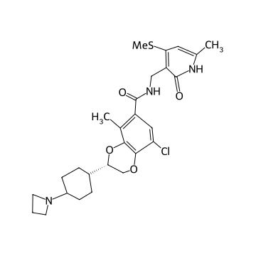 CSc1cc(C)[nH]c(=O)c1CNC(=O)c1cc(Cl)c2c(c1C)O[C@@H](C1CCC(N3CCC3)CC1)CO2